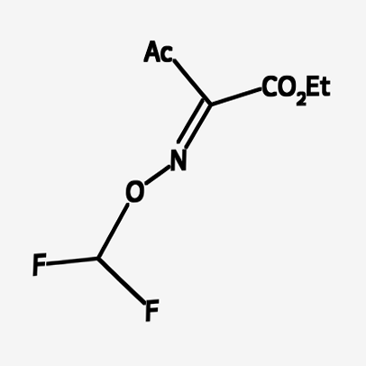 CCOC(=O)C(=NOC(F)F)C(C)=O